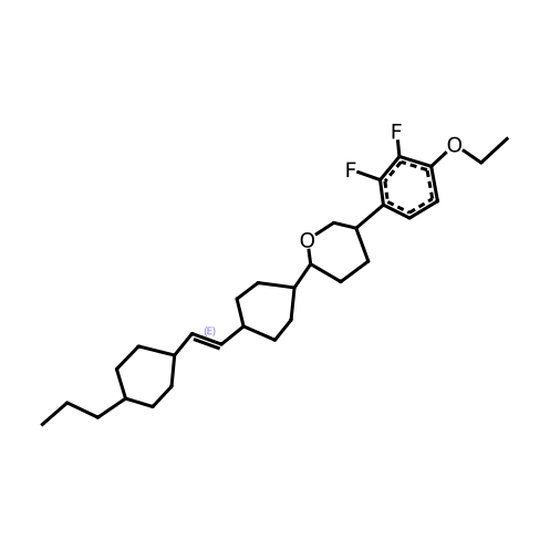 CCCC1CCC(/C=C/C2CCC(C3CCC(c4ccc(OCC)c(F)c4F)CO3)CC2)CC1